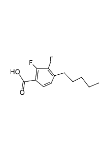 CCCCCc1ccc(C(=O)O)c(F)c1F